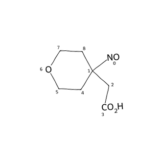 O=NC1(CC(=O)O)CCOCC1